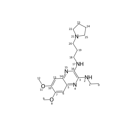 CCNc1nc2cc(OC)c(OC)cc2nc1NCCCN1CCCC1